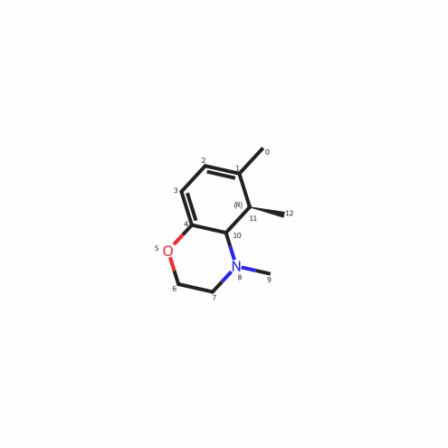 CC1=CC=C2OCCN(C)C2[C@@H]1C